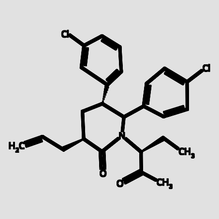 C=CC[C@H]1C[C@H](c2cccc(Cl)c2)C(c2ccc(Cl)cc2)N([C@@H](CC)C(C)=O)C1=O